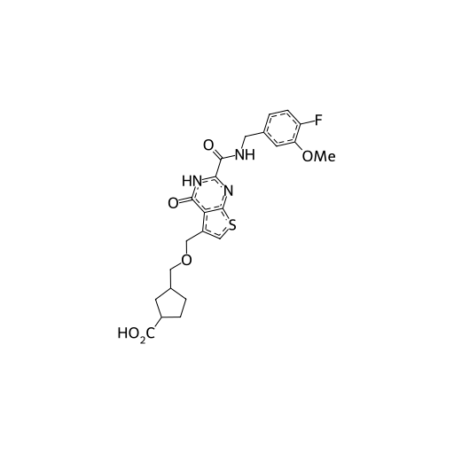 COc1cc(CNC(=O)c2nc3scc(COCC4CCC(C(=O)O)C4)c3c(=O)[nH]2)ccc1F